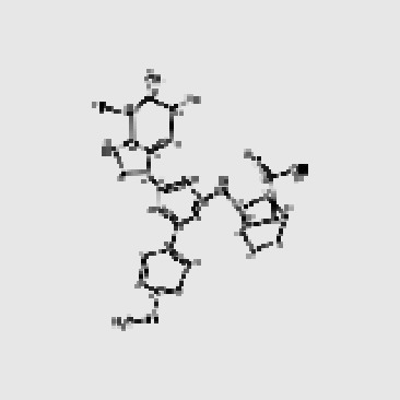 COc1ccc(-c2cc(NC3C4CCC(CC4)C3C(=O)O)nc(-c3c[nH]c4c3=CC(F)C(C)C=4F)n2)cc1